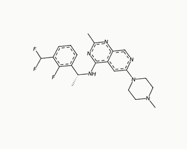 Cc1nc(N[C@H](C)c2cccc(C(F)F)c2F)c2cc(N3CCN(C)CC3)ncc2n1